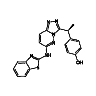 C[C@@H](c1ccc(O)cc1)c1nnc2ccc(Nc3nc4ccccc4s3)nn12